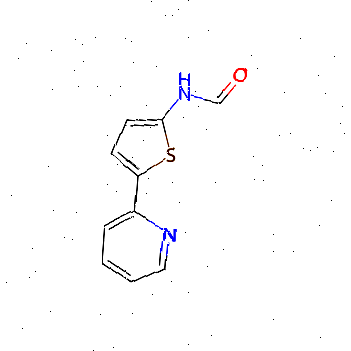 O=CNc1ccc(-c2ccccn2)s1